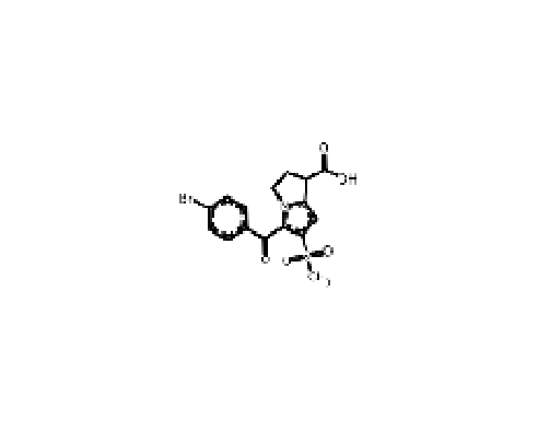 CS(=O)(=O)c1cc2n(c1C(=O)c1ccc(Br)cc1)CCC2C(=O)O